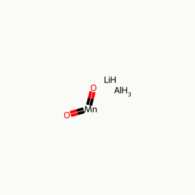 [AlH3].[LiH].[O]=[Mn]=[O]